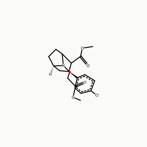 COC(=O)CCN1C2CC[C@@H]1C[C@H](c1ccc(Cl)cc1)C2C(=O)OC